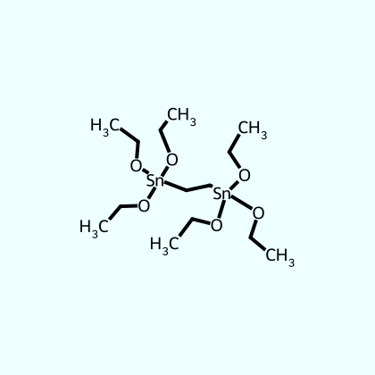 CC[O][Sn]([CH2][CH2][Sn]([O]CC)([O]CC)[O]CC)([O]CC)[O]CC